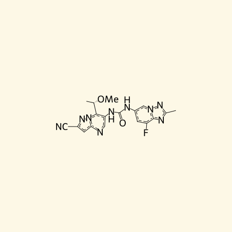 CO[C@@H](C)c1c(NC(=O)Nc2cc(F)c3nc(C)nn3c2)cnc2cc(C#N)nn12